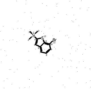 C[Si](C)(C)c1cc2cccc(Br)c2s1